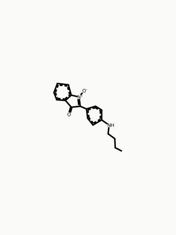 CCCCNc1ccc(C2=[N+]([O-])c3ccccc3C2=O)cc1